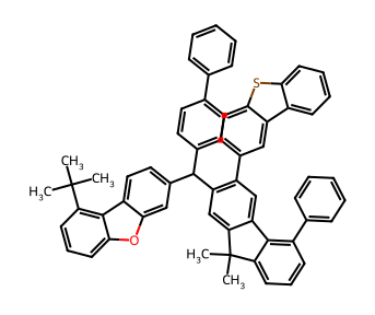 CC(C)(C)c1cccc2oc3cc(C(c4ccc(-c5ccccc5)cc4)c4cc5c(cc4-c4ccc6sc7ccccc7c6c4)-c4c(-c6ccccc6)cccc4C5(C)C)ccc3c12